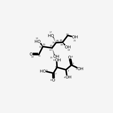 O=C(O)C(O)C(O)C(=O)O.O=C[C@@H](O)[C@@H](O)[C@H](O)[C@H](O)CO